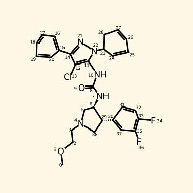 COCCN1C[C@@H](NC(=O)Nc2c(Cl)c(-c3ccccc3)nn2C2C=CC=CC2)[C@H](c2ccc(F)c(F)c2)C1